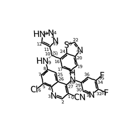 N#Cc1cnc2c(Cl)cc(N[C@H](c3c[nH]nn3)c3cccc4ncsc34)cc2c1Nc1cnc(F)c(F)c1